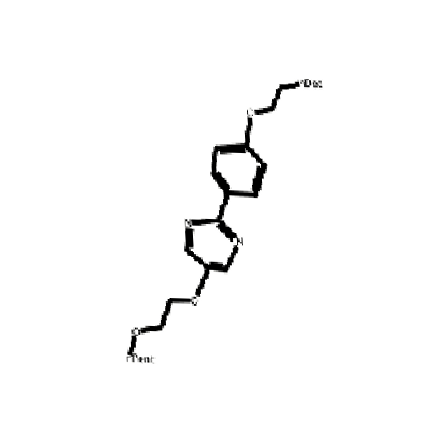 CCCCCCCCCCCCOc1ccc(-c2ncc(OCCOCCCCC)cn2)cc1